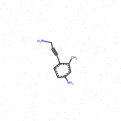 Cc1cc(N)ccc1C#CCN